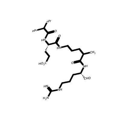 CCCC(CCC)C(=O)N[C@@H](CCC(=O)O)C(=O)NCCCC(C)C(=O)N[C@H](C=O)CCCNC(=N)N